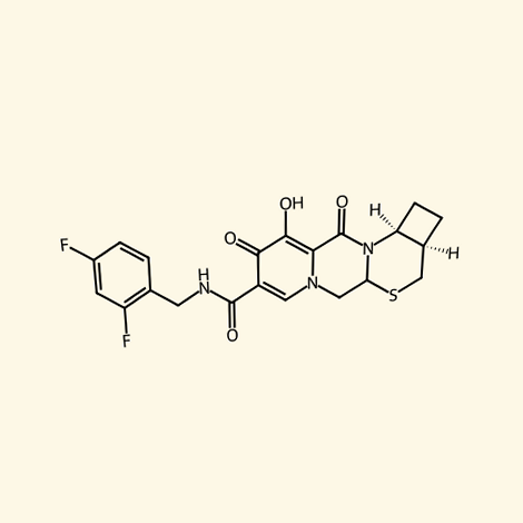 O=C(NCc1ccc(F)cc1F)c1cn2c(c(O)c1=O)C(=O)N1C(C2)SC[C@@H]2CC[C@@H]21